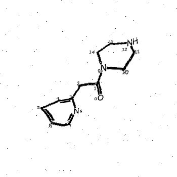 O=C(Cc1ccccn1)N1CCNCC1